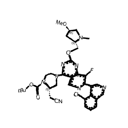 CO[C@@H]1C[C@@H](COc2nc(N3CCN(C(=O)OC(C)(C)C)[C@@H](CC#N)C3)c3cnc(-c4cncc5cccc(Cl)c45)c(F)c3n2)N(C)C1